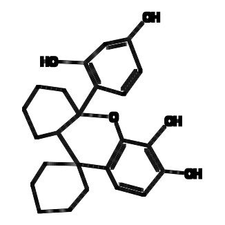 Oc1ccc(C23CCCCC2C2(CCCCC2)c2ccc(O)c(O)c2O3)c(O)c1